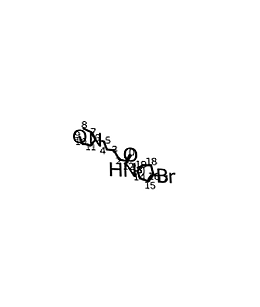 O=C(CCCCN1CCOCC1)N[C@@H]1CC=C(Br)CC1